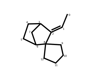 C/C=C1\C2CCC(C2)C12CCCC2